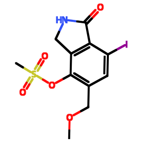 COCc1cc(I)c2c(c1OS(C)(=O)=O)CNC2=O